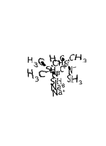 C[Si](C)(C)[N-][SiH3].C[Si](C)(C)[N-][SiH3].[Na+].[Na+]